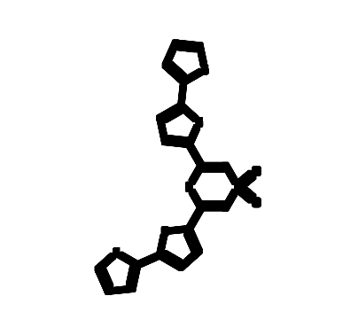 O=S1(=O)C=C(c2ccc(-c3cccs3)s2)SC(c2ccc(-c3cccs3)s2)=C1